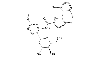 COc1cc(NC(=O)c2ccc(F)c(-c3c(F)cccc3F)n2)c([C@H]2C[C@@H](O)[C@H](O)[C@@H](CO)O2)cn1